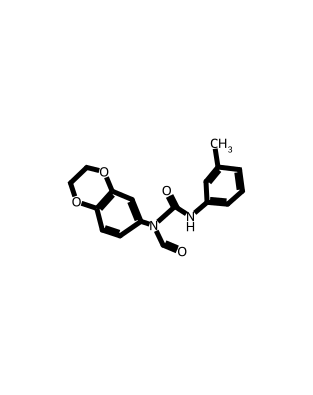 Cc1cccc(NC(=O)N(C=O)c2ccc3c(c2)OCCO3)c1